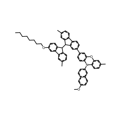 CCCCCCCCOc1ccc2c(c1)-c1cc(C)ccc1C2C1c2cc(C)ccc2-c2ccc(-c3ccc4c(c3)Oc3cc(C)ccc3N4c3ccc4cc(OC)ccc4c3)cc21